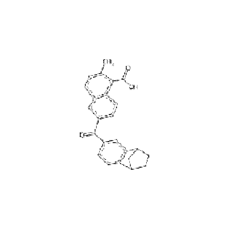 Cc1ccc2cc(C(=O)c3ccc4c(c3)C3CCC4C3)ccc2c1C(=O)O